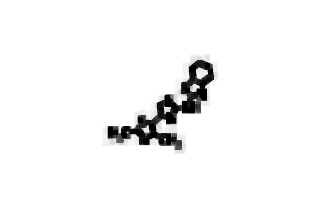 Cc1nc(C)c(-c2csc(Nc3nc4ccccc4s3)n2)s1